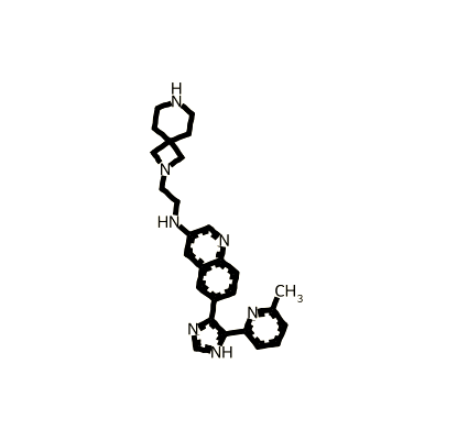 Cc1cccc(-c2[nH]cnc2-c2ccc3ncc(NCCN4CC5(CCNCC5)C4)cc3c2)n1